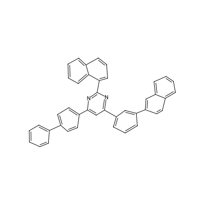 c1ccc(-c2ccc(-c3cc(-c4cccc(-c5ccc6ccccc6c5)c4)nc(-c4cccc5ccccc45)n3)cc2)cc1